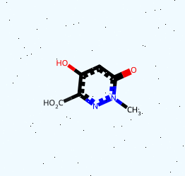 Cn1nc(C(=O)O)c(O)cc1=O